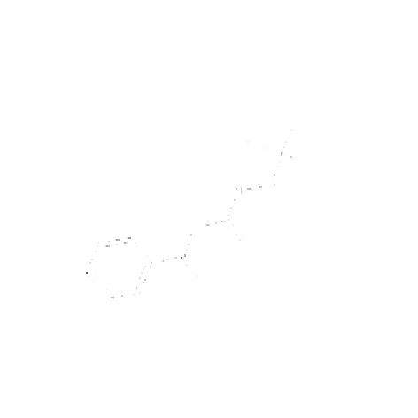 CC(C)(C)ONC(=O)OC(=O)c1ccccc1